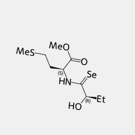 CC[C@@H](O)C(=[Se])N[C@@H](CCSC)C(=O)OC